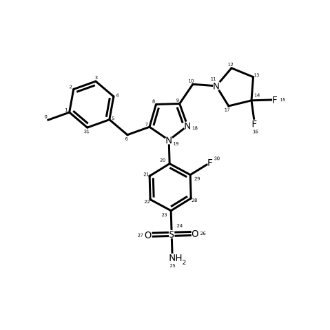 Cc1cccc(Cc2cc(CN3CCC(F)(F)C3)nn2-c2ccc(S(N)(=O)=O)cc2F)c1